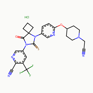 Cl.N#CCN1CCC(Oc2ccc(N3C(=S)N(c4cnc(C#N)c(C(F)(F)F)c4)C(=O)C34CCC4)cn2)CC1